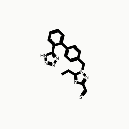 CCc1nc(C=S)nn1Cc1ccc(-c2ccccc2-c2nnn[nH]2)cc1